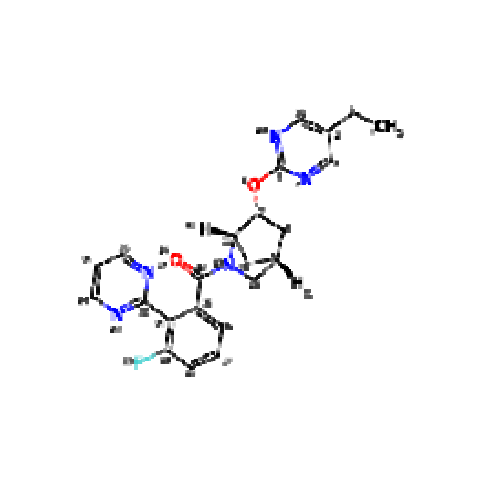 CCc1cnc(O[C@@H]2C[C@H]3C[C@@H]2N(C(=O)c2cccc(F)c2-c2ncccn2)C3)nc1